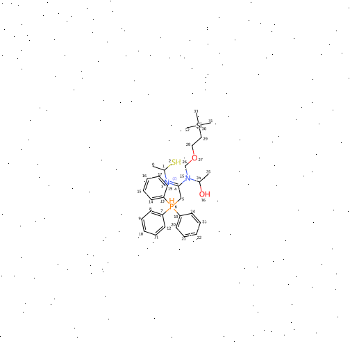 CC(S)/N=C(/C[PH](c1ccccc1)(c1ccccc1)c1ccccc1)N(COCC[Si](C)(C)C)C(C)O